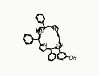 Oc1cccc(-c2cc3[nH]c2C(c2ccccc2)=C2C=CC(=N2)C(c2ccccc2)=C2C=CC(c4ccccc4)(CC4=NC(=C3)C=C4)N2)c1